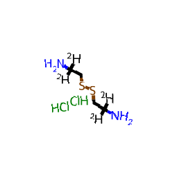 Cl.Cl.[2H]C([2H])(N)CSSCC([2H])([2H])N